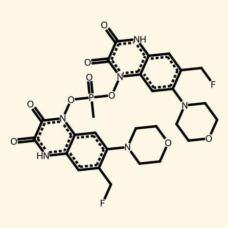 CP(=O)(On1c(=O)c(=O)[nH]c2cc(CF)c(N3CCOCC3)cc21)On1c(=O)c(=O)[nH]c2cc(CF)c(N3CCOCC3)cc21